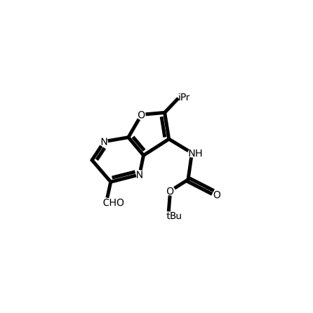 CC(C)c1oc2ncc(C=O)nc2c1NC(=O)OC(C)(C)C